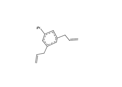 C=CCc1cc(CC=C)cc(C(C)C)c1